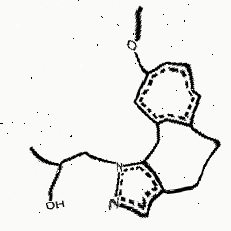 COc1ccc2c(c1)-c1c(cnn1CC(C)O)CC2